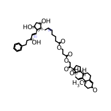 C[C@]12CCC(=O)C=C1CC[C@@H]1C2=CC[C@]23O[C@]2(C(=O)COC(=O)CCOC(=O)CCC/C=C\C[C@@H]2[C@@H](/C=C/[C@@H](O)CCc4ccccc4)[C@H](O)C[C@@H]2O)CC[C@@H]13